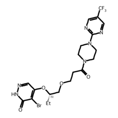 CC[C@@H](COCCC(=O)N1CCN(c2ncc(C(F)(F)F)cn2)CC1)Oc1cn[nH]c(=O)c1Br